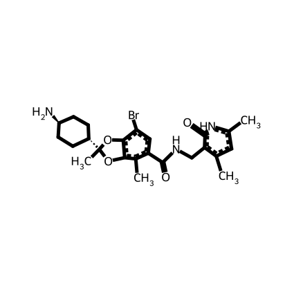 Cc1cc(C)c(CNC(=O)c2cc(Br)c3c(c2C)OC(C)([C@H]2CC[C@H](N)CC2)O3)c(=O)[nH]1